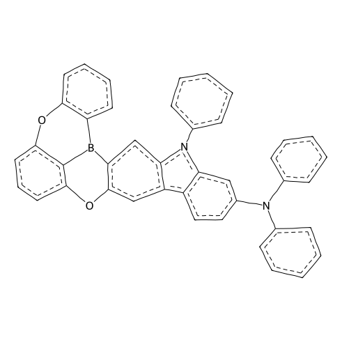 c1ccc(N(c2ccccc2)c2ccc3c4cc5c(cc4n(-c4ccccc4)c3c2)B2c3ccccc3Oc3cccc(c32)O5)cc1